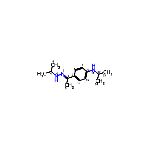 C/C(=N\NC(C)C)c1ccc(NC(C)C)cc1